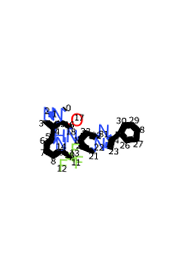 Cn1ncc(-c2cccc(C(F)(F)F)n2)c1C(=O)Nc1ccn2cc(-c3ccccc3)nc2c1